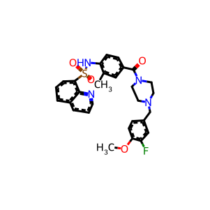 COc1ccc(CN2CCN(C(=O)c3ccc(NS(=O)(=O)c4cccc5cccnc45)c(C)c3)CC2)cc1F